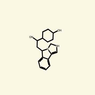 O=NC(CC1c2ccccc2C2=CNCN21)C1CCC(O)CC1